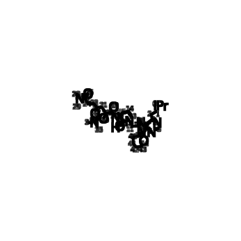 CC(C)CCc1ncnc2c1nc(Cn1cccc(NC(=O)C(CCC=CC(=O)N(C)C)OC(=O)N(C)C)c1=O)n2C1CCCCO1